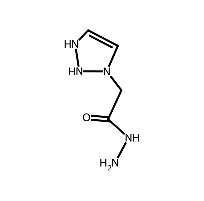 NNC(=O)CN1C=CNN1